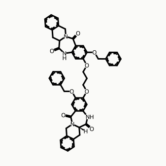 O=C1Nc2cc(OCCCOc3cc4c(cc3OCc3ccccc3)C(=O)N3Cc5ccccc5C[C@H]3C(=O)N4)c(OCc3ccccc3)cc2C(=O)N2Cc3ccccc3CC12